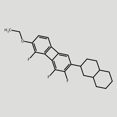 CCOc1ccc2c(c1F)-c1c-2cc(C2CCC3CCCCC3C2)c(F)c1F